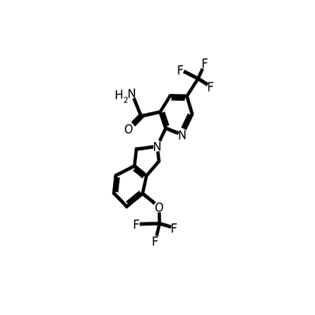 NC(=O)c1cc(C(F)(F)F)cnc1N1Cc2cccc(OC(F)(F)F)c2C1